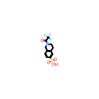 O=C(N1CCc2cc(S(=O)(=O)O)ccc2C1)C(F)(F)F